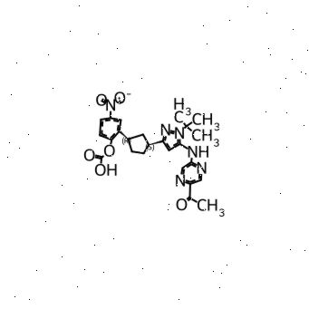 CC(=O)c1cnc(Nc2cc([C@H]3CC[C@@H](c4cc([N+](=O)[O-])ccc4OC(=O)O)C3)nn2C(C)(C)C)cn1